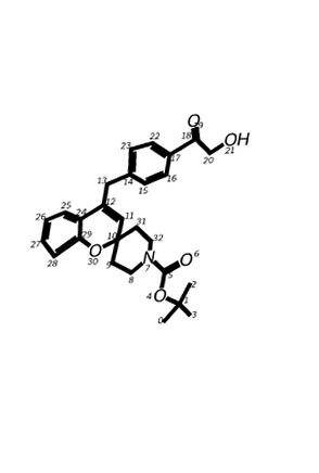 CC(C)(C)OC(=O)N1CCC2(C=C(Cc3ccc(C(=O)CO)cc3)c3ccccc3O2)CC1